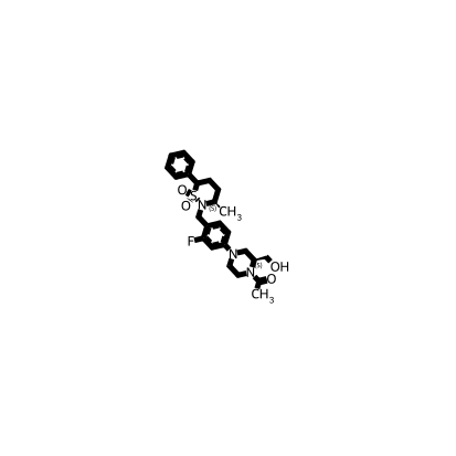 CC(=O)N1CCN(c2ccc(CN3[C@@H](C)CCC(c4ccccc4)S3(=O)=O)c(F)c2)C[C@H]1CO